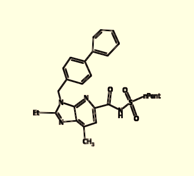 CCCCCS(=O)(=O)NC(=O)c1cc(C)c2nc(CC)n(Cc3ccc(-c4ccccc4)cc3)c2n1